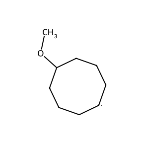 COC1CCC[CH]CCC1